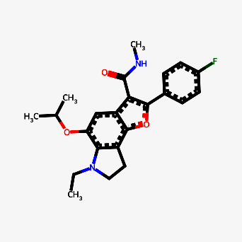 CCN1CCc2c1c(OC(C)C)cc1c(C(=O)NC)c(-c3ccc(F)cc3)oc21